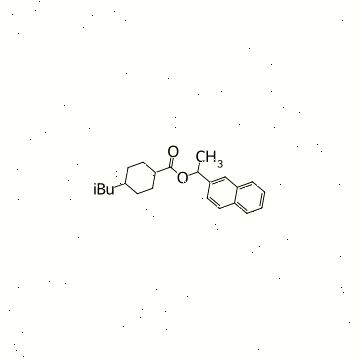 CCC(C)C1CCC(C(=O)OC(C)c2ccc3ccccc3c2)CC1